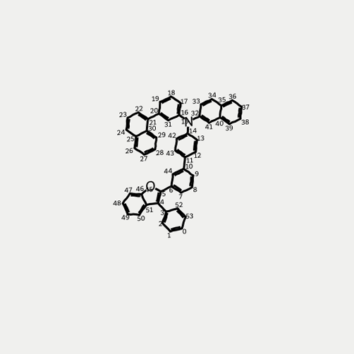 c1ccc(-c2c(-c3cccc(-c4ccc(N(c5cccc(-c6cccc7ccccc67)c5)c5ccc6ccccc6c5)cc4)c3)oc3ccccc23)cc1